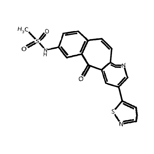 CS(=O)(=O)Nc1ccc2ccc3ncc(-c4ccns4)cc3c(=O)c2c1